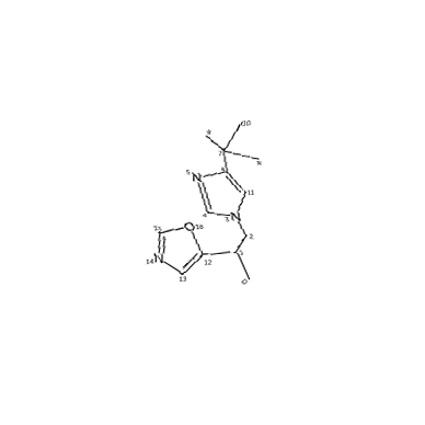 CC(Cn1cnc(C(C)(C)C)c1)c1cnco1